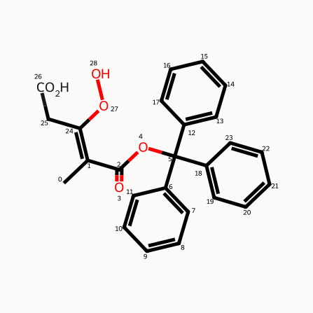 CC(C(=O)OC(c1ccccc1)(c1ccccc1)c1ccccc1)=C(CC(=O)O)OO